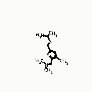 Cc1cc(CSC(C)N)sc1CN(C)C